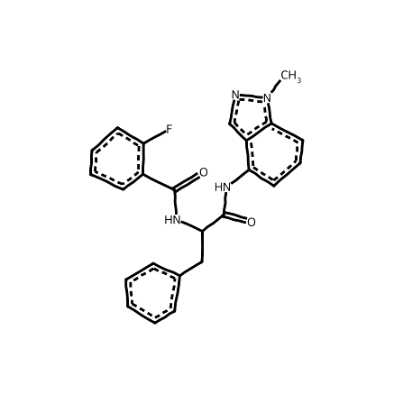 Cn1ncc2c(NC(=O)C(Cc3ccccc3)NC(=O)c3ccccc3F)cccc21